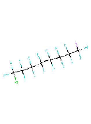 FC(F)(Cl)C(F)(F)C(F)(F)C(F)(F)C(F)(F)C(F)(F)C(F)(F)C(F)(F)I